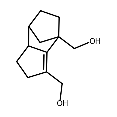 OCC1=C2C(CC1)C1CCC2(CO)C1